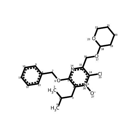 CC(C)Cc1c(OCc2ccccc2)nc(COC2CCCCO2)c(Cl)[n+]1[O-]